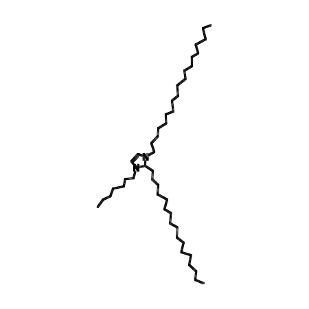 CCCCCCCCCCCCCCCCCCCN1C=CN(CCCCCCC)C1CCCCCCCCCCCCCCCCC